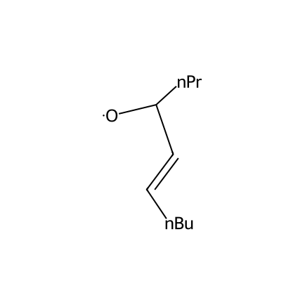 CCCCC=CC([O])CCC